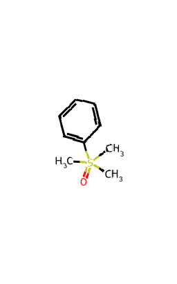 CS(C)(C)(=O)c1ccccc1